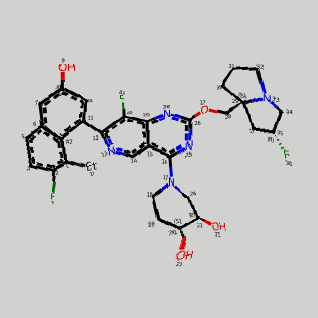 CCc1c(F)ccc2cc(O)cc(-c3ncc4c(N5CC[C@H](O)[C@H](O)C5)nc(OC[C@@]56CCCN5C[C@H](F)C6)nc4c3F)c12